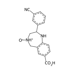 N#Cc1cccc(C2C[NH+]([O-])Cc3cc(C(=O)O)ccc3N2)c1